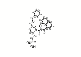 CC(C(=O)Nc1cc(COCc2ccccc2)ccc1CCCC(=O)O)c1cccc2ccccc12